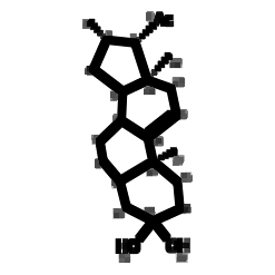 CC(=O)[C@H]1[C@@H](C)CC2C3CCC4CC(O)(O)CC[C@]4(C)C3=CC[C@@]21C